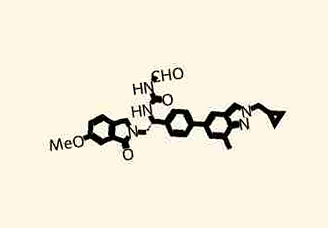 COc1ccc2c(c1)C(=O)N(C[C@H](NC(=O)NC=O)c1ccc(-c3cc(C)c4nn(CC5CC5)cc4c3)cc1)C2